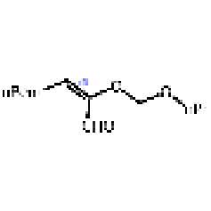 CCCCC/C=C(\C=O)OCOCCC